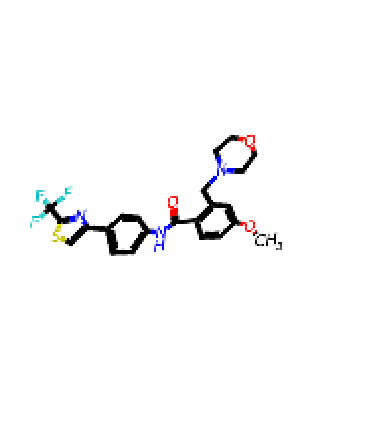 COc1ccc(C(=O)Nc2ccc(-c3csc(C(F)(F)F)n3)cc2)c(CN2CCOCC2)c1